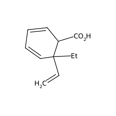 C=CC1(CC)C=CC=CC1C(=O)O